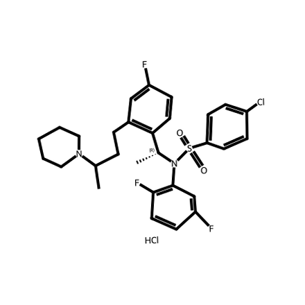 CC(CCc1cc(F)ccc1[C@@H](C)N(c1cc(F)ccc1F)S(=O)(=O)c1ccc(Cl)cc1)N1CCCCC1.Cl